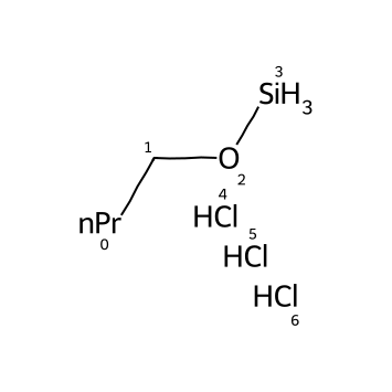 CCCCO[SiH3].Cl.Cl.Cl